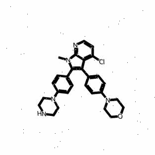 Cn1c(-c2ccc(N3CCNCC3)cc2)c(-c2ccc(N3CCOCC3)cc2)c2c(Cl)ccnc21